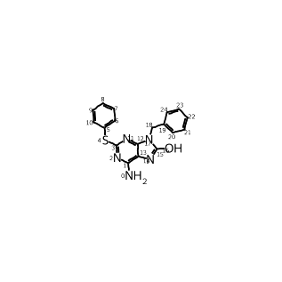 Nc1nc(Sc2ccccc2)nc2c1nc(O)n2Cc1ccccc1